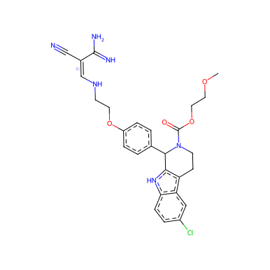 COCCOC(=O)N1CCc2c([nH]c3ccc(Cl)cc23)C1c1ccc(OCCN/C=C(/C#N)C(=N)N)cc1